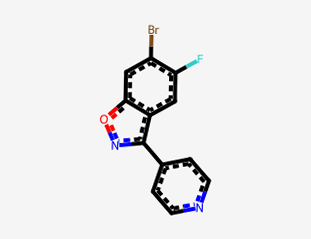 Fc1cc2c(-c3ccncc3)noc2cc1Br